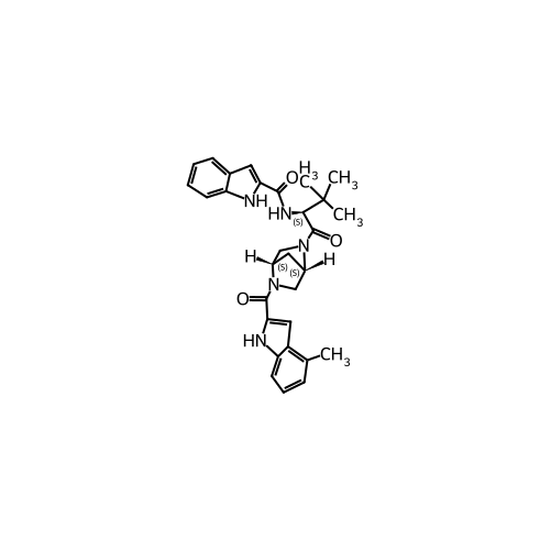 Cc1cccc2[nH]c(C(=O)N3C[C@@H]4C[C@H]3CN4C(=O)[C@@H](NC(=O)c3cc4ccccc4[nH]3)C(C)(C)C)cc12